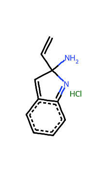 C=CC1(N)C=c2ccccc2=N1.Cl